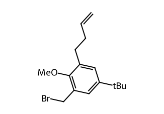 C=CCCc1cc(C(C)(C)C)cc(CBr)c1OC